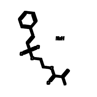 C=C(C)C(=O)OCCOS(=O)(=O)C=Cc1ccccc1.[NaH]